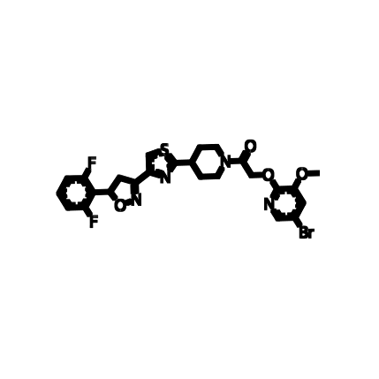 COc1cc(Br)cnc1OCC(=O)N1CCC(c2nc(C3=NOC(c4c(F)cccc4F)C3)cs2)CC1